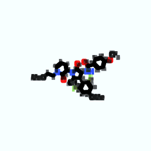 COCCn1cccc(N2C(=O)[C@@H](NC(=O)c3ccc(OC(F)(F)F)cc3)[C@H](c3c(F)cc(OC)cc3F)[C@H]2C)c1=O